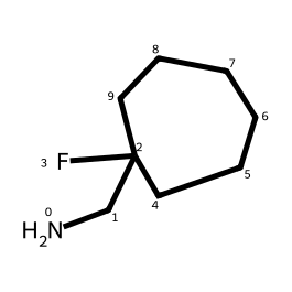 NCC1(F)CCCCCC1